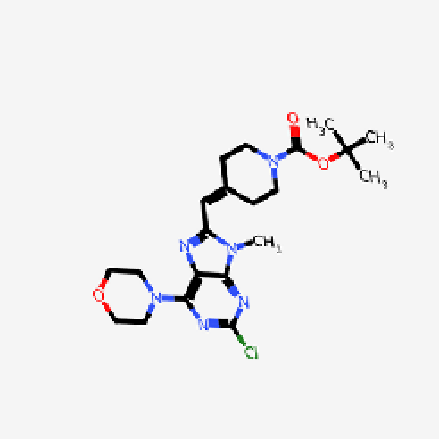 Cn1c(C=C2CCN(C(=O)OC(C)(C)C)CC2)nc2c(N3CCOCC3)nc(Cl)nc21